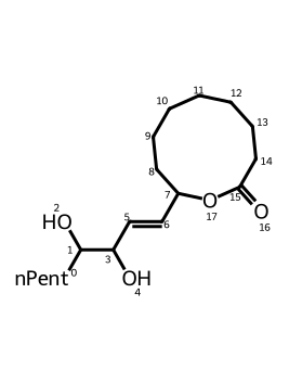 CCCCCC(O)C(O)/C=C/C1CCCCCCCC(=O)O1